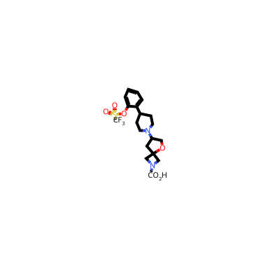 O=C(O)N1CC2(CC(N3CCC(c4ccccc4OS(=O)(=O)C(F)(F)F)CC3)CO2)C1